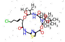 CC(C)C1NC(=O)C(C)(C)N(C(=O)OC(C)(C)C)C(C)(C)OC(=O)c2csc(n2)CNC(=O)C[C@@H](/C=C/CCCl)OC1=O